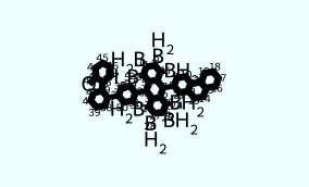 Bc1c(B)c(B)c2c(-c3ccc4c(ccc5ccccc54)c3)c3c(B)c(B)c(B)c(B)c3c(-c3ccc(-c4cccc5oc6ccccc6c45)cc3)c2c1B